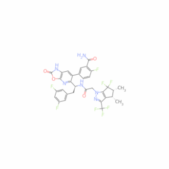 C[C@@H]1c2c(C(F)(F)F)nn(CC(=O)N[C@@H](Cc3cc(F)cc(F)c3)c3nc4oc(=O)[nH]c4cc3-c3ccc(F)c(C(N)=O)c3)c2C(F)(F)[C@@H]1C